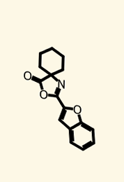 O=C1OC(c2cc3ccccc3o2)=NC12CCCCC2